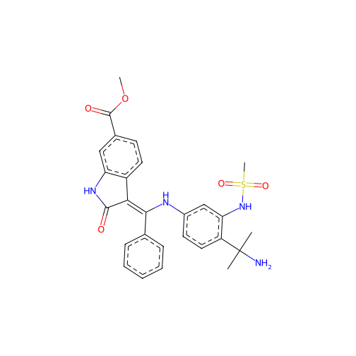 COC(=O)c1ccc2c(c1)NC(=O)C2=C(Nc1ccc(C(C)(C)N)c(NS(C)(=O)=O)c1)c1ccccc1